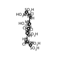 O=S(=O)(O)C1=C(NCCNc2nc(Cl)nc(Nc3ccc(S(=O)(=O)O)cc3S(=O)(=O)O)n2)C=CC2=Nc3c(Cl)c4c(c(Cl)c3OC21)N=C1C=CC(NCCNc2nc(Cl)nc(Nc3ccc(S(=O)(=O)O)cc3S(=O)(=O)O)n2)=C(S(=O)(=O)O)C1O4